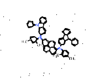 Cc1ccc(N(c2cc3ccc4ccc(N(c5ccc6c(c5)C(c5ccccc5)c5ccccc5-6)c5ccc(C)cc5C)c5ccc(c2)c3c45)c2ccc3c4ccccc4n(-c4ccccc4)c3c2)c(C)c1